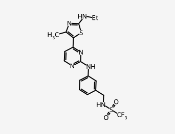 CCNc1nc(C)c(-c2ccnc(Nc3cccc(CNS(=O)(=O)C(F)(F)F)c3)n2)s1